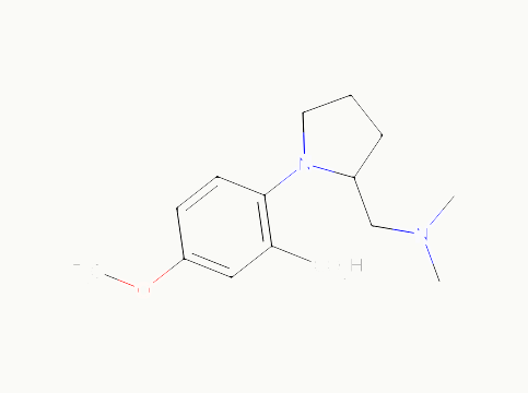 CN(C)CC1CCCN1c1ccc(OC(F)(F)F)cc1C(=O)O